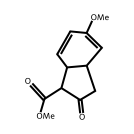 COC(=O)C1C(=O)CC2C=C(OC)C=CC21